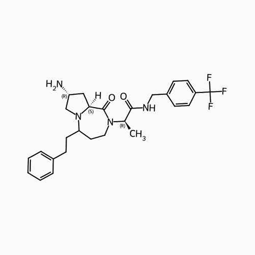 C[C@H](C(=O)NCc1ccc(C(F)(F)F)cc1)N1CCC(CCc2ccccc2)N2C[C@H](N)C[C@H]2C1=O